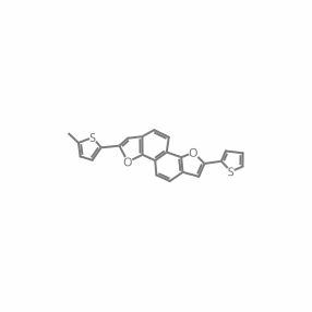 Cc1ccc(-c2cc3ccc4c(ccc5cc(-c6cccs6)oc54)c3o2)s1